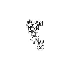 CC(C)(C)OC(=O)N1CCC[C@@H](CNc2nc(Cl)cc3nccnc23)C1